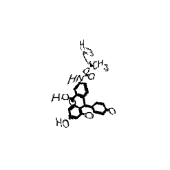 CC(C)OC(=O)Nc1ccc(-c2c3ccc(=O)cc-3oc3cc(O)ccc23)c(C(=O)O)c1